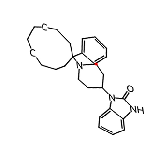 O=c1[nH]c2ccccc2n1C1CCN(C2(c3ccccc3)CCCCCCCCC2)CC1